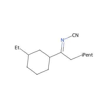 CCCC(C)CC(=NC#N)C1CCCC(CC)C1